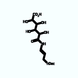 CCCCCCCCCCCC=CNC(=O)C(O)C(O)C(O)C(O)C(=O)O